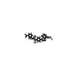 CC(C)c1cccc(NC(=O)Nc2ccc(-n3cnc4c(N)ncnc43)cc2)c1